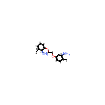 Cc1ccc(OCCOc2cccc(C)c2N)cc1N